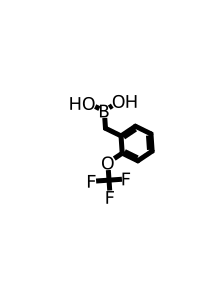 OB(O)Cc1ccccc1OC(F)(F)F